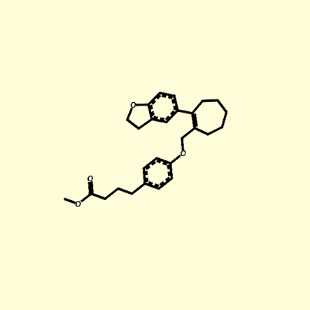 COC(=O)CCCc1ccc(OCC2=C(c3ccc4c(c3)CCO4)CCCCC2)cc1